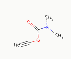 C#COC(=O)N(C)C